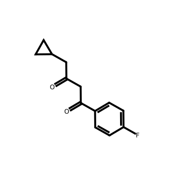 O=C(CC(=O)c1ccc(F)cc1)CC1CC1